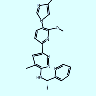 COc1nc(-c2cc(C)c(N[C@@H](C)c3ccccn3)nn2)ccc1-n1cnc(C)c1